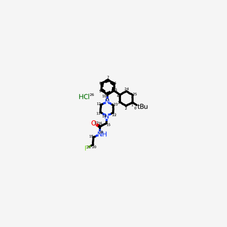 CC(C)(C)C1CCC(c2ccccc2N2CCN(CC(=O)NCCF)CC2)CC1.Cl